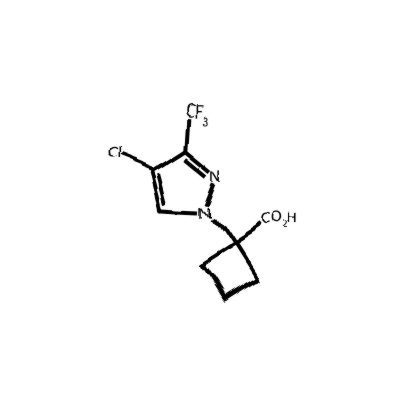 O=C(O)C1(n2cc(Cl)c(C(F)(F)F)n2)CCC1